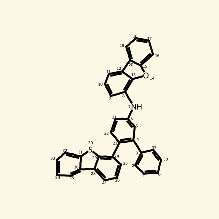 c1ccc(-c2cc(Nc3cccc4c3oc3ccccc34)ccc2-c2cccc3c2sc2ccccc23)cc1